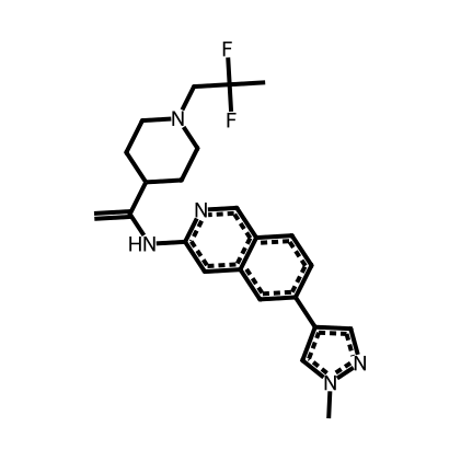 C=C(Nc1cc2cc(-c3cnn(C)c3)ccc2cn1)C1CCN(CC(C)(F)F)CC1